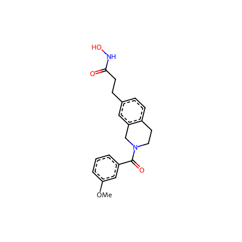 COc1cccc(C(=O)N2CCc3ccc(CCC(=O)NO)cc3C2)c1